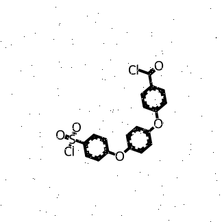 O=C(Cl)c1ccc(Oc2ccc(Oc3ccc(S(=O)(=O)Cl)cc3)cc2)cc1